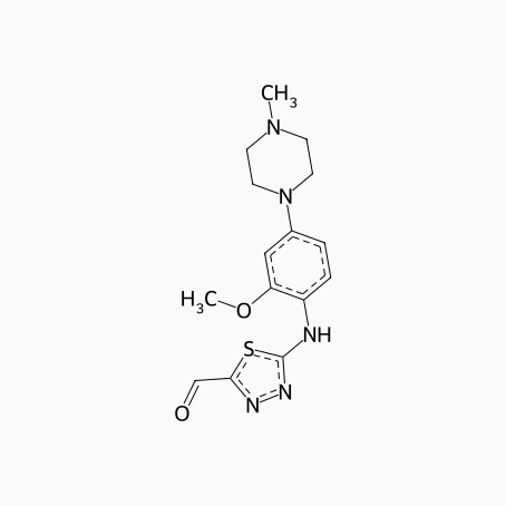 COc1cc(N2CCN(C)CC2)ccc1Nc1nnc(C=O)s1